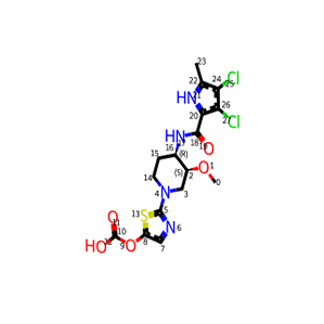 CO[C@H]1CN(c2ncc(OC(=O)O)s2)CC[C@H]1NC(=O)c1[nH]c(C)c(Cl)c1Cl